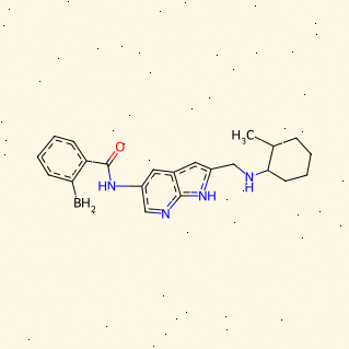 Bc1ccccc1C(=O)Nc1cnc2[nH]c(CNC3CCCCC3C)cc2c1